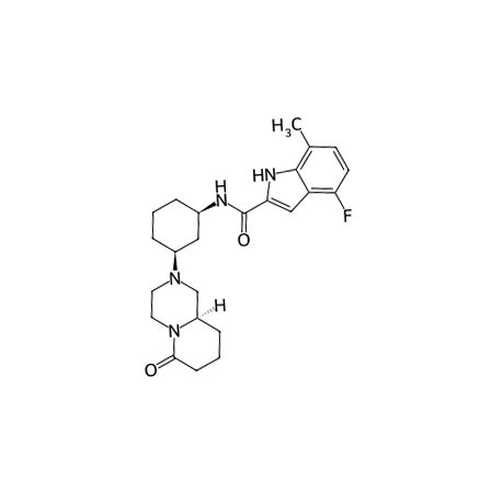 Cc1ccc(F)c2cc(C(=O)N[C@@H]3CCC[C@H](N4CCN5C(=O)CCC[C@@H]5C4)C3)[nH]c12